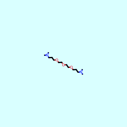 CN(C)CCCOCCOCCOCCCN(C)C